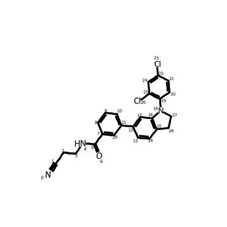 N#CCCNC(=O)c1cccc(-c2ccc3c(c2)N(c2ccc(Cl)cc2Cl)CC3)c1